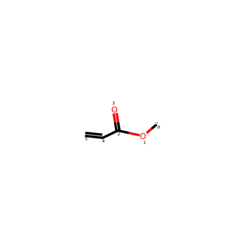 [CH]OC(=O)C=C